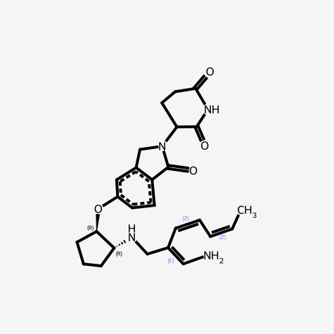 C\C=C/C=C\C(=C/N)CN[C@@H]1CCC[C@H]1Oc1ccc2c(c1)CN(C1CCC(=O)NC1=O)C2=O